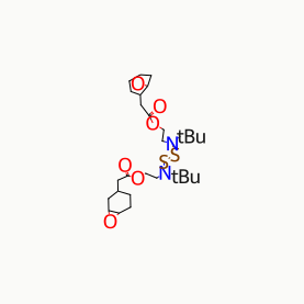 CC(C)(C)N(CCOC(=O)CC1CCC2OC2C1)SSN(CCOC(=O)CC1CCC2CC1O2)C(C)(C)C